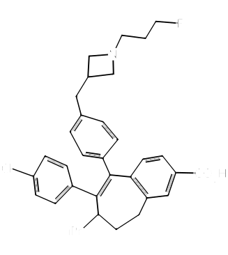 CC(C)C1CCc2cc(C(=O)O)ccc2C(c2ccc(CC3CN(CCCF)C3)cc2)=C1c1ccc(Cl)cc1